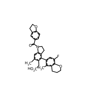 Cc1cc2c(c(-c3cc(F)c4c(c3C)CCCO4)c1CC(=O)O)CCN2C(=O)c1ccc2c(c1)CCO2